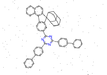 c1ccc(-c2ccc(-c3nc(-c4ccc(-c5ccccc5)cc4)nc(-c4ccc5c(c4)C4(c6ccc7ccccc7c6-5)C5CC6CC(C5)CC4C6)n3)cc2)cc1